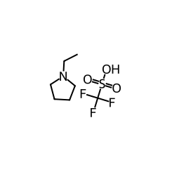 CCN1CCCC1.O=S(=O)(O)C(F)(F)F